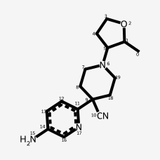 CC1OCCC1N1CCC(C#N)(c2ccc(N)cn2)CC1